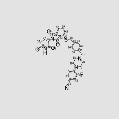 N#Cc1ccc(N2CCN(Cc3ccc(CSc4cccc5c4C(=O)N(C4CCC(=O)NC4=O)C5=O)cc3)CC2)c(F)c1